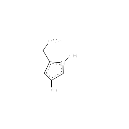 COCc1cc(C(C)C)cn1C